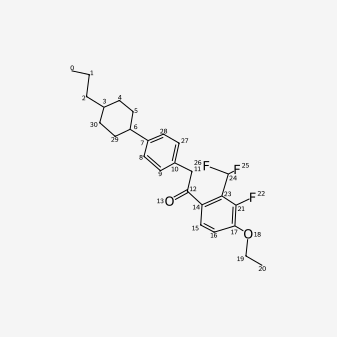 CCCC1CCC(c2ccc(CC(=O)c3ccc(OCC)c(F)c3C(F)F)cc2)CC1